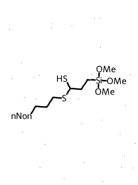 CCCCCCCCCCCCSC(S)CC[Si](OC)(OC)OC